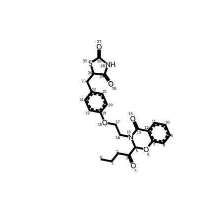 CCCC(=O)C1Oc2ccccc2C(=O)N1CCOc1ccc(CC2SC(=O)NC2=O)cc1